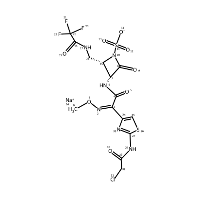 CON=C(C(=O)N[C@H]1C(=O)N(S(=O)(=O)[O-])[C@H]1CNC(=O)C(F)(F)F)c1csc(NC(=O)CCl)n1.[Na+]